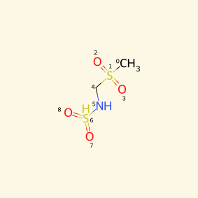 CS(=O)(=O)CN[SH](=O)=O